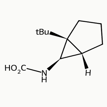 CC(C)(C)[C@@]12CCC[C@@H]1[C@H]2NC(=O)O